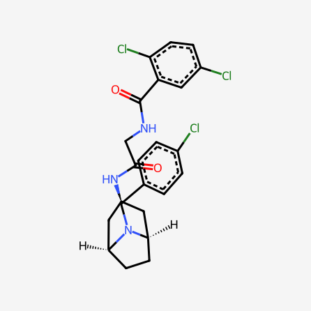 O=C(CNC(=O)c1cc(Cl)ccc1Cl)N[C@H]1C[C@H]2CC[C@@H](C1)N2Cc1ccc(Cl)cc1